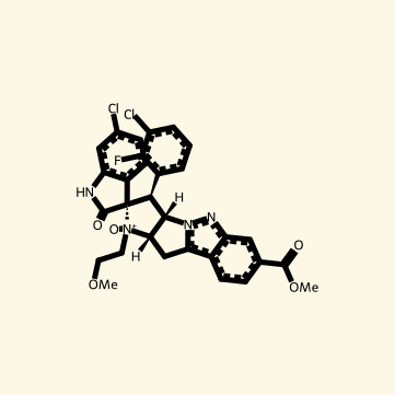 COCC[N+]1([O-])[C@H]2Cc3c4ccc(C(=O)OC)cc4nn3[C@H]2[C@H](c2cccc(Cl)c2F)[C@]12C(=O)Nc1cc(Cl)ccc12